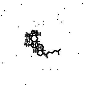 [2H]C1=C2C([2H])([2H])C([2H])(O)C([2H])([2H])C[C@]2(C)[C@H]2CC[C@]3(C)[C@@H]([C@H](C)CCCC(C)C)CC[C@H]3[C@@H]2C1